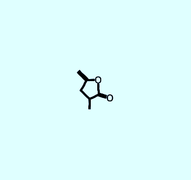 C=C1CC(C)C(=O)O1